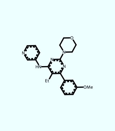 CCc1c(Nc2cccnc2)nc(N2CCOCC2)nc1-c1cccc(OC)c1